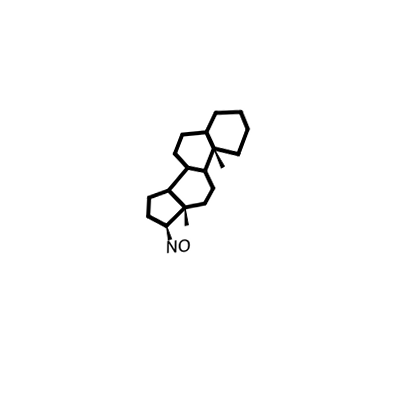 C[C@]12CCCCC1CCC1C2CC[C@@]2(C)C1CC[C@@H]2N=O